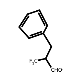 O=[C]C(Cc1ccccc1)C(F)(F)F